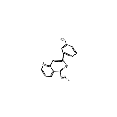 Nc1nc(-c2cccc(Cl)c2)cc2ncccc12